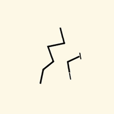 CCCCCC.ICI